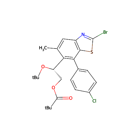 Cc1cc2nc(Br)sc2c(-c2ccc(Cl)cc2)c1[C@H](COC(=O)C(C)(C)C)OC(C)(C)C